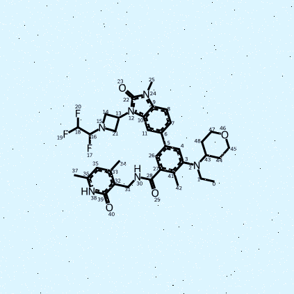 CCN(c1cc(-c2ccc3c(c2)n(C2CN(C(F)C(F)F)C2)c(=O)n3C)cc(C(=O)NCc2c(C)cc(C)[nH]c2=O)c1C)C1CCOCC1